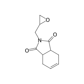 O=C1C2CC=CCC2C(=O)N1CC1CO1